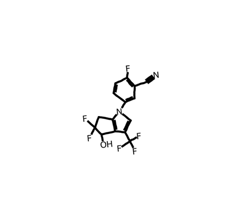 N#Cc1cc(-n2cc(C(F)(F)F)c3c2CC(F)(F)C3O)ccc1F